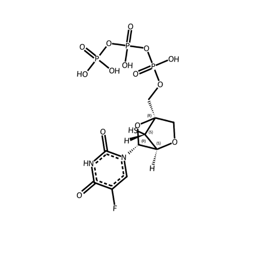 O=c1[nH]c(=O)n([C@@H]2O[C@@]3(COP(=O)(O)OP(=O)(O)OP(=O)(O)O)CO[C@@H]2[C@@H]3S)cc1F